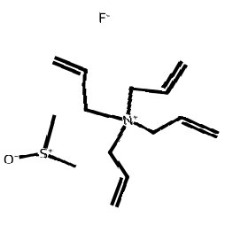 C=CC[N+](CC=C)(CC=C)CC=C.C[S+](C)[O-].[F-]